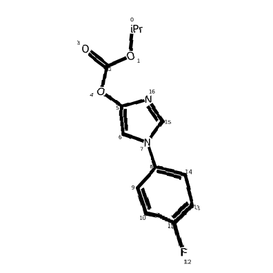 CC(C)OC(=O)Oc1cn(-c2ccc(F)cc2)cn1